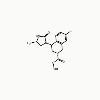 CC(C)(C)OC(=O)N1Cc2cc(Br)ccc2C(N2C[C@@H](C(F)(F)F)NC2=O)C1